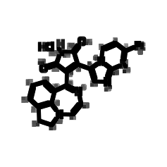 CCc1ccn2c(C3=C(C4=NC=CN5CCc6cccc4c65)C(=O)NC3=O)cnc2n1.Cl